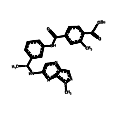 Cc1cc(C(=O)Nc2cccc([C@H](C)Nc3cnc4cnn(C)c4n3)c2)ccc1C(=O)OCC(C)C